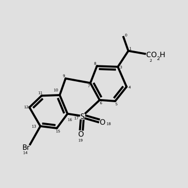 CC(C(=O)O)c1ccc2c(c1)Cc1ccc(Br)cc1S2(=O)=O